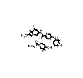 CC(C)(C)OC(=O)N1CCC(O)C(F)(F)C1.Cc1cn2cc(NC(=O)c3cnc(OC4CCNCC4(F)F)cn3)cc(F)c2n1